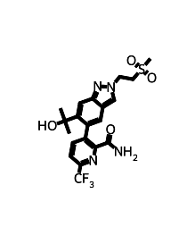 CC(C)(O)c1cc2nn(CCS(C)(=O)=O)cc2cc1-c1ccc(C(F)(F)F)nc1C(N)=O